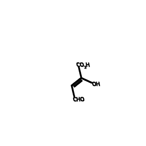 O=CC=C(O)C(=O)O